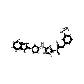 CN(C(=O)Cc1cccc(OC(F)(F)F)c1)c1nnc(N[C@@H]2CCN(c3nc4ncccc4s3)C2)s1